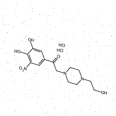 Cl.Cl.O=C(CN1CCN(CCO)CC1)c1cc(O)c(O)c([N+](=O)[O-])c1